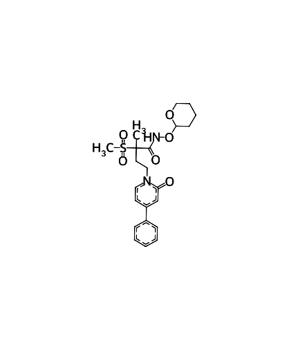 CC(CCn1ccc(-c2ccccc2)cc1=O)(C(=O)NOC1CCCCO1)S(C)(=O)=O